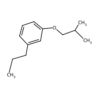 CCCc1cccc(OCC(C)C)c1